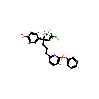 CC(C=C(Br)Br)(CCCc1cccc(Oc2ccccc2)n1)c1ccc(O)cc1